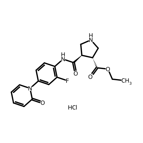 CCOC(=O)[C@H]1CNC[C@@H]1C(=O)Nc1ccc(-n2ccccc2=O)cc1F.Cl